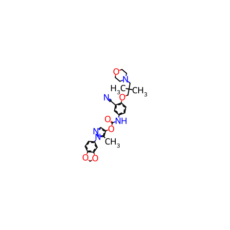 Cc1c(OC(=O)Nc2ccc(OCC(C)(C)CN3CCOCC3)c(C#N)c2)cnn1-c1ccc2c(c1)OCO2